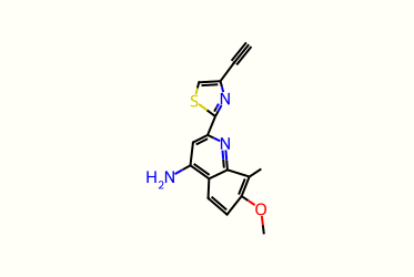 C#Cc1csc(-c2cc(N)c3ccc(OC)c(C)c3n2)n1